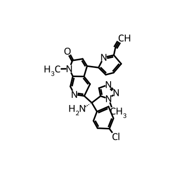 C#Cc1cccc(-c2cc(=O)n(C)c3cnc([C@](N)(c4ccc(Cl)cc4)c4cnnn4C)cc23)n1